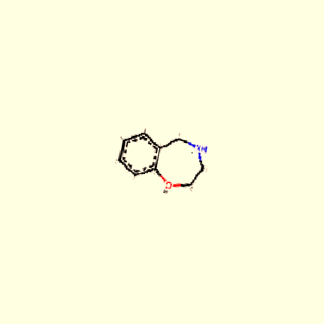 [CH]1CNCc2ccccc2O1